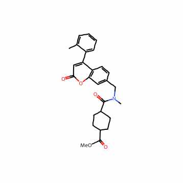 COC(=O)C1CCC(C(=O)N(C)Cc2ccc3c(-c4ccccc4C)cc(=O)oc3c2)CC1